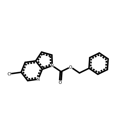 O=C(OCc1ccccc1)n1ccc2cc(Cl)cnc21